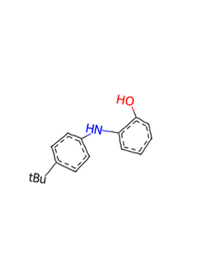 CC(C)(C)c1ccc(Nc2ccccc2O)cc1